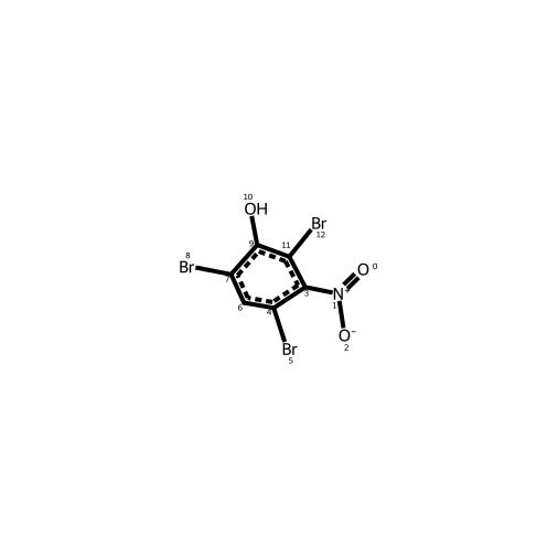 O=[N+]([O-])c1c(Br)cc(Br)c(O)c1Br